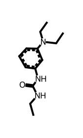 CCNC(=O)Nc1cccc(N(CC)CC)c1